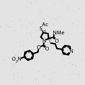 CNC(=O)[C@]1(CCCc2ccncc2)C[C@H](SC(C)=O)CN1C(=O)OCc1ccc([N+](=O)[O-])cc1